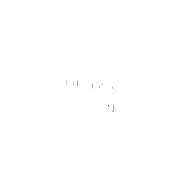 [Co].[Cu+2].[Ni].[S-2]